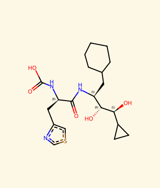 O=C(O)N[C@H](Cc1cscn1)C(=O)N[C@@H](CC1CCCCC1)[C@@H](O)[C@@H](O)C1CC1